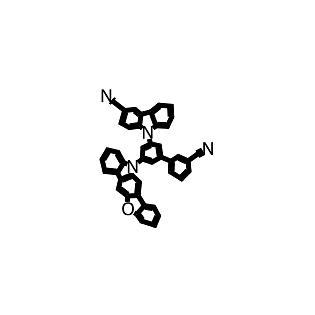 N#Cc1cccc(-c2cc(-n3c4ccccc4c4cc(C#N)ccc43)cc(-n3c4ccccc4c4cc5oc6ccccc6c5cc43)c2)c1